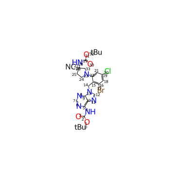 CC(C)(C)OC(=O)Nc1ncnc2c1ncn2Cc1c(Br)cc(Cl)cc1N1CC[C@@](C#N)(NC(=O)OC(C)(C)C)C1